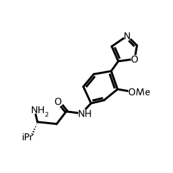 COc1cc(NC(=O)C[C@@H](N)C(C)C)ccc1-c1cnco1